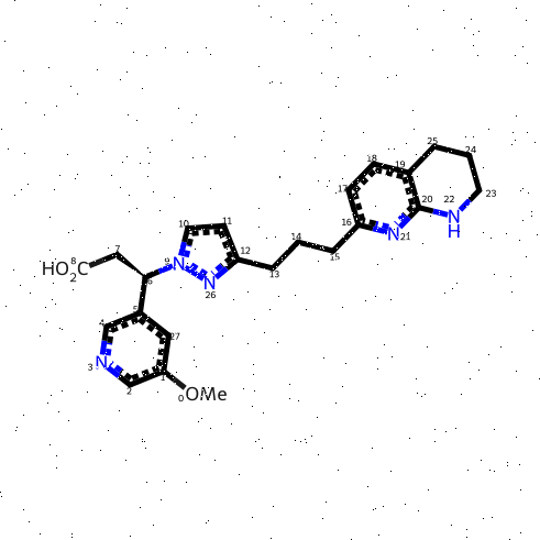 COc1cncc([C@@H](CC(=O)O)n2ccc(CCCc3ccc4c(n3)NCCC4)n2)c1